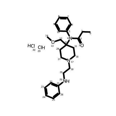 CCC(=O)N(c1ccccc1)C1(COC)CCN(CCNc2ccccc2)CC1.Cl.Cl